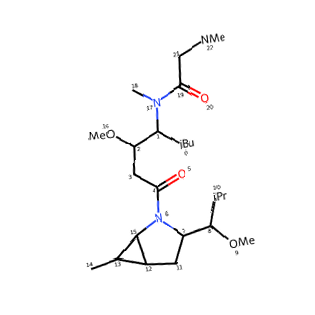 CCC(C)C(C(CC(=O)N1C(C(OC)C(C)C)CC2C(C)C21)OC)N(C)C(=O)CNC